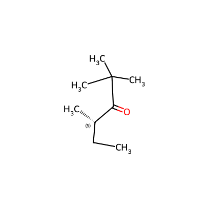 CC[C@H](C)C(=O)C(C)(C)C